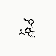 N#Cc1cccc(Oc2ccc(SC(F)F)c(CO)c2Cl)c1